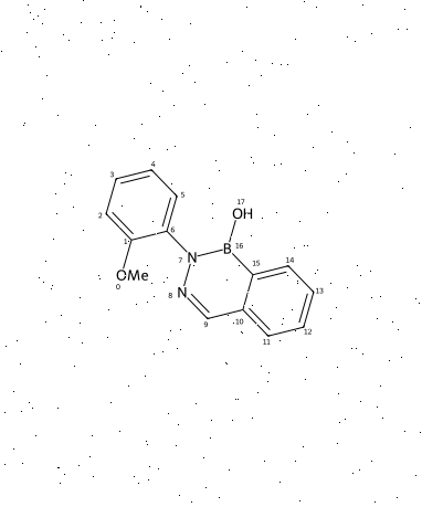 COc1ccccc1N1N=Cc2ccccc2B1O